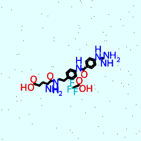 N=C(N)Nc1ccc(C(=O)Nc2ccc(CCNC(=O)C(N)CCC(=O)O)cc2)cc1.O=C(O)C(F)(F)F